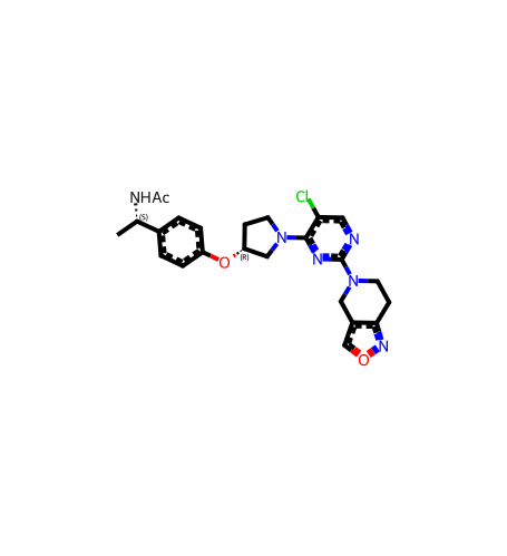 CC(=O)N[C@@H](C)c1ccc(O[C@@H]2CCN(c3nc(N4CCc5nocc5C4)ncc3Cl)C2)cc1